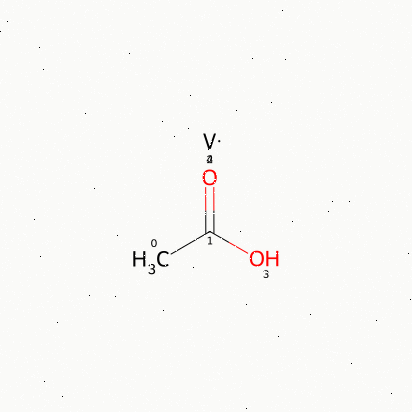 CC(=O)O.[V]